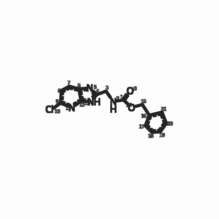 O=C(NCc1nc2ccc(Cl)nc2[nH]1)OCc1ccccc1